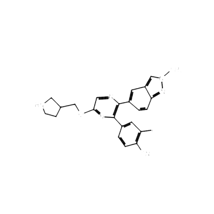 Cn1cc2cc(-c3ncc(OCC4CCNC4)nc3-c3ccc(C#N)c(F)c3)ccc2n1